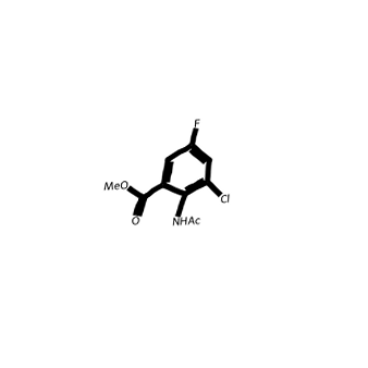 COC(=O)c1cc(F)cc(Cl)c1NC(C)=O